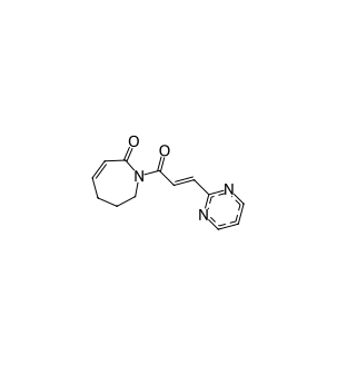 O=C1C=CCCCN1C(=O)C=Cc1ncccn1